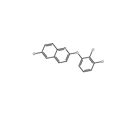 [O]c1ccc2nc(Oc3cccc(Cl)c3Cl)ccc2c1